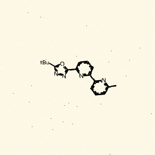 Cc1cccc(-c2cccc(-c3nnc(C(C)(C)C)o3)n2)n1